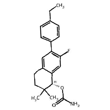 CCc1ccc(-c2cc3c(cc2F)[C@H](OC(N)=O)C(C)(C)CC3)cc1